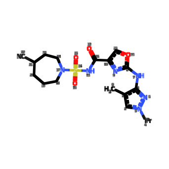 Cc1cn(C(C)C)nc1Nc1nc(C(=O)NS(=O)(=O)N2CCCC(C#N)CC2)co1